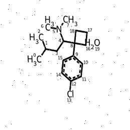 CC(C)CC(N(C)C)C1(c2ccc(Cl)cc2)CCC1.O